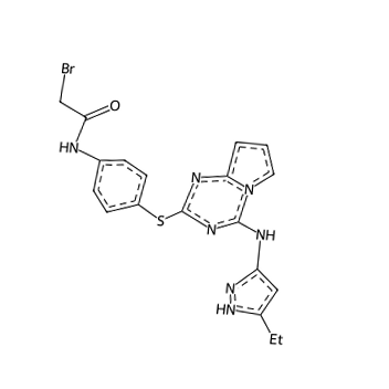 CCc1cc(Nc2nc(Sc3ccc(NC(=O)CBr)cc3)nc3cccn23)n[nH]1